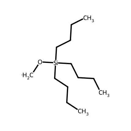 [CH2]O[Si](CCCC)(CCCC)CCCC